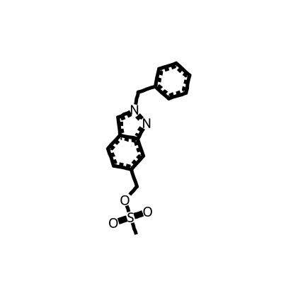 CS(=O)(=O)OCc1ccc2cn(Cc3ccccc3)nc2c1